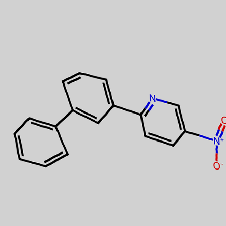 O=[N+]([O-])c1ccc(-c2cccc(-c3ccccc3)c2)nc1